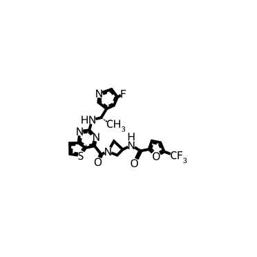 C[C@H](Nc1nc(C(=O)N2CC(NC(=O)c3ccc(C(F)(F)F)o3)C2)c2sccc2n1)c1cncc(F)c1